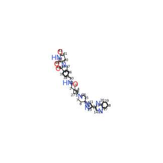 O=C(CC12CC(N3CCC(n4cc(-c5cnc6ccccc6n5)cn4)CC3)(C1)C2)NCc1ccc2c(c1)CN(C1CCC(=O)NC1=O)C2=O